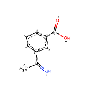 CC(=N)c1cccc(C(=O)O)c1